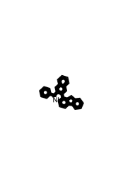 N=C(c1ccccc1)c1cc2ccccc2cc1-c1cccc2c1Cc1ccccc1-2